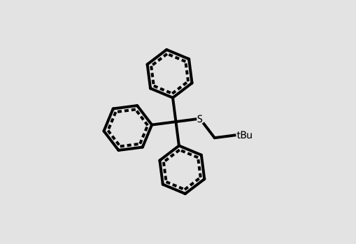 CC(C)(C)CSC(c1ccccc1)(c1ccccc1)c1ccccc1